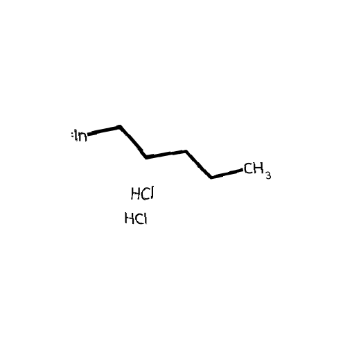 CCCC[CH2][In].Cl.Cl